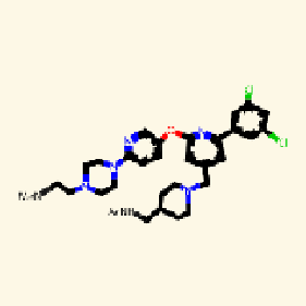 CNCCN1CCN(c2ccc(Oc3cc(CN4CCC(CNC(C)=O)CC4)cc(-c4cc(Cl)cc(Cl)c4)n3)cn2)CC1